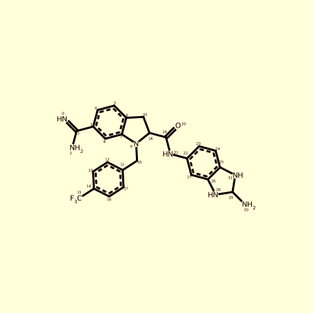 N=C(N)c1ccc2c(c1)N(Cc1ccc(C(F)(F)F)cc1)C(C(=O)Nc1ccc3c(c1)NC(N)N3)C2